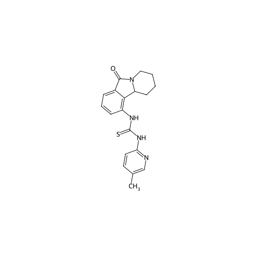 Cc1ccc(NC(=S)Nc2cccc3c2C2CCCCN2C3=O)nc1